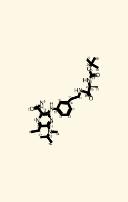 CCc1nc(C(N)=O)c(Nc2cccc(CCNC(=O)[C@H](C)NC(=O)OC(C)(C)C)c2)nc1N(C)C(C)C